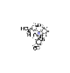 C/C(=C1/c2ccccc2COc2ccc(C(=O)O)cc21)n1cnc2cc3c(cc21)COO3